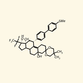 CSc1ccc(-c2ccc([C@H]3C[C@@]4(C)C(CC[C@@]4(O)C(F)(F)C(F)(F)F)C4CC[C@@]5(O)CC6(CCC5=C43)OCC(C)(C)CO6)cc2)cc1